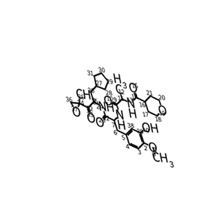 COc1ccc(CC(NC(=O)C(C)NC(=O)C2CCOCC2)C(=O)NC(CC2CCCC2)C(=O)C2(C)CO2)cc1O